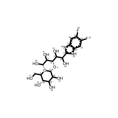 OCC1O[C@H](O[C@H](C(O)CO)C(O)C(O)c2nc3cc(F)c(F)cc3[nH]2)C(O)C(O)[C@@H]1O